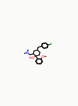 COc1ccccc1C1(O)CCC(Cc2ccc(F)cc2)CC1CN(C)C